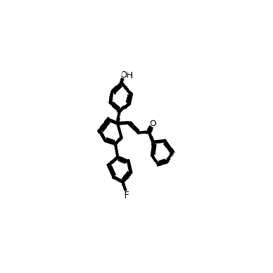 O=C(C=CC1(c2ccc(O)cc2)C=CC=C(c2ccc(F)cc2)C1)c1ccccc1